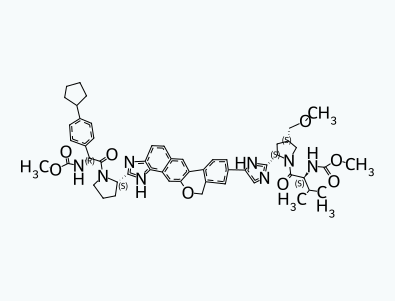 COC[C@H]1C[C@@H](c2ncc(-c3ccc4c(c3)COc3cc5c(ccc6nc([C@@H]7CCCN7C(=O)[C@H](NC(=O)OC)c7ccc(C8CCCC8)cc7)[nH]c65)cc3-4)[nH]2)N(C(=O)[C@@H](NC(=O)OC)C(C)C)C1